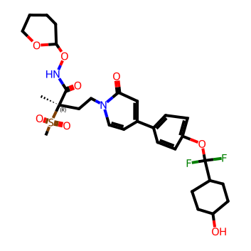 C[C@@](CCn1ccc(-c2ccc(OC(F)(F)C3CCC(O)CC3)cc2)cc1=O)(C(=O)NOC1CCCCO1)S(C)(=O)=O